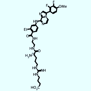 CCc1cc(Nc2nccn3c(-c4ccc(OC)c(F)c4F)cnc23)ccc1C(=O)NCCNC(=O)[C@@H](N)CCCNC(=N)NCCCC(=O)O